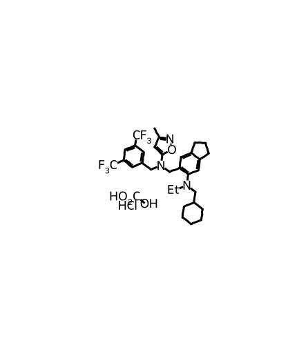 CCN(CC1CCCCC1)c1cc2c(cc1CN(Cc1cc(C(F)(F)F)cc(C(F)(F)F)c1)c1cc(C)no1)CCC2.Cl.O=C(O)O